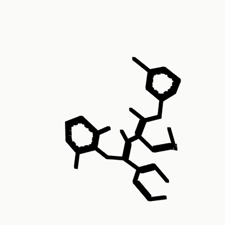 C\C=C/C(=C\C)C(/Cc1c(C)cccc1C)=C(C)\C(\C=N/C)=C(/C)Cc1cccc(C)c1